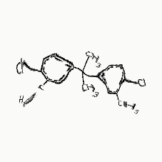 Cc1cc(C(C)(C)c2ccc(Cl)c(C)c2)ccc1Cl